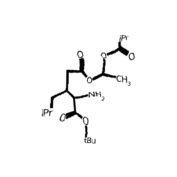 CC(C)CC(CC(=O)OC(C)OC(=O)C(C)C)C(N)C(=O)OC(C)(C)C